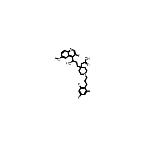 COc1ccc2ncc(F)c(C(O)CCC3(CC(=O)O)CCN(CCCc4c(F)cc(F)cc4F)CC3)c2c1